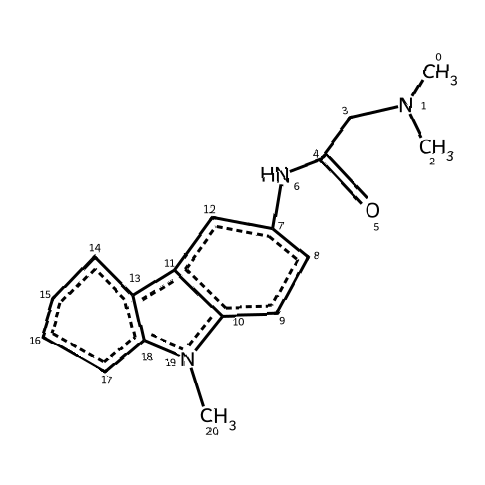 CN(C)CC(=O)Nc1ccc2c(c1)c1ccccc1n2C